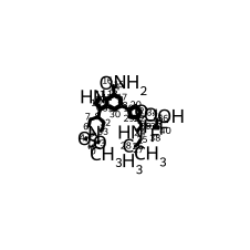 CCS(=O)(=O)N1CCC(c2c[nH]c3c(C(N)=O)cc(-c4coc(CNCC(C)C)c4)cc23)CC1.O=C(O)C(F)(F)F